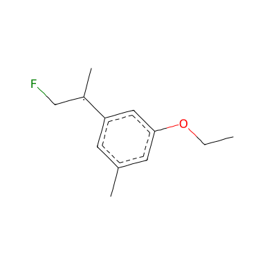 CCOc1cc(C)cc([C](C)CF)c1